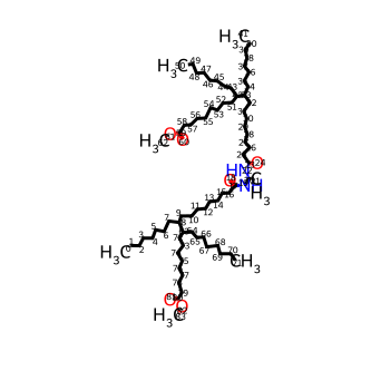 CCCCCCCCC(CCCCCCCCC(=O)NC(C)NC(=O)CCCCCCCCC(CCCCCCCC)C(CCCCCCCC)CCCCCCCCC(=O)OC)C(CCCCCCCC)CCCCCCCCC(=O)OC